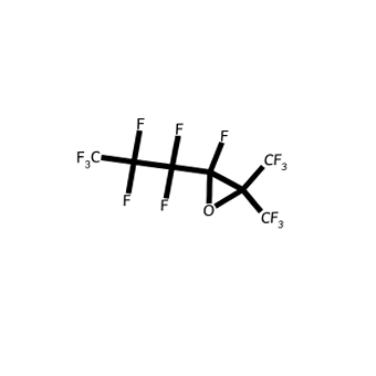 FC(F)(F)C(F)(F)C(F)(F)C1(F)OC1(C(F)(F)F)C(F)(F)F